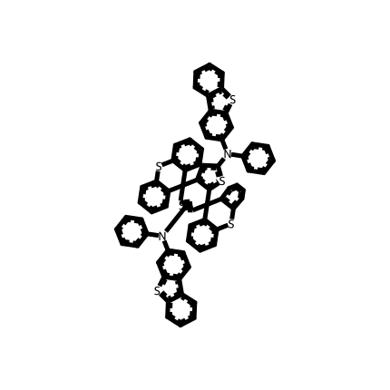 c1ccc(N(c2ccc3c(c2)sc2ccccc23)c2cc3c(s2)C2(c4ccccc4Sc4ccccc42)c2cc(N(c4ccccc4)c4ccc5c(c4)sc4ccccc45)sc2C32c3ccccc3Sc3ccccc32)cc1